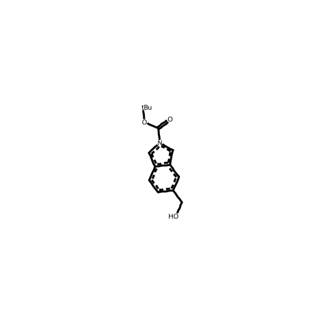 CC(C)(C)OC(=O)n1cc2ccc(CO)cc2c1